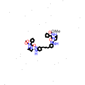 COC(=O)N[C@@H](C(=O)N1C2CC2C[C@H]1c1nc2cc(C/C=C/Cc3ccc4[nH]c([C@@H]5CC6CC6N5C(=O)[C@H](NC5OCO5)c5ccccc5)nc4c3)ccc2[nH]1)c1ccccc1